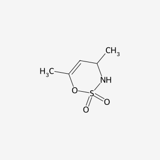 CC1=CC(C)NS(=O)(=O)O1